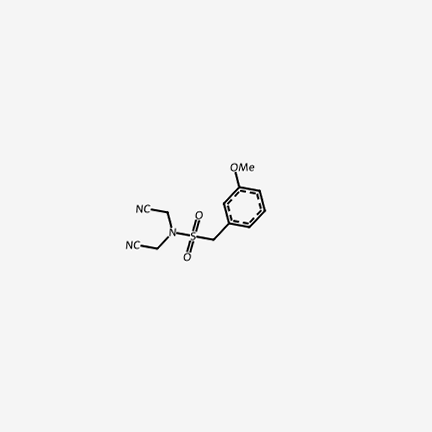 COc1cccc(CS(=O)(=O)N(CC#N)CC#N)c1